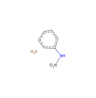 O=[N+]([O-])Nc1ccccc1.S